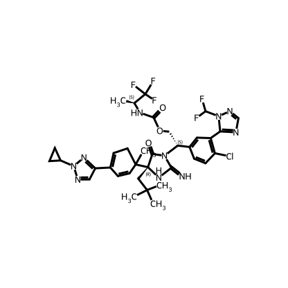 C[C@H](NC(=O)OC[C@H](c1ccc(Cl)c(-c2ncnn2C(F)F)c1)N1C(=N)N[C@](CC(C)(C)C)(C2(C)C=CC(c3cnn(C4CC4)n3)=CC2)C1=O)C(F)(F)F